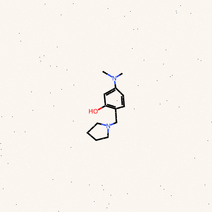 CN(C)c1ccc(CN2CCCC2)c(O)c1